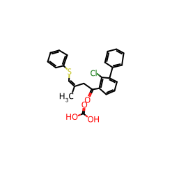 CC(=CSc1ccccc1)CC(=O)c1cccc(-c2ccccc2)c1Cl.O=C(O)O